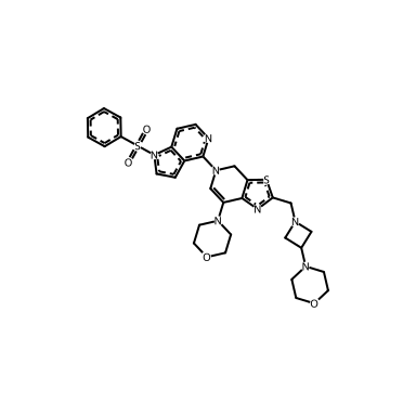 O=S(=O)(c1ccccc1)n1ccc2c(N3C=C(N4CCOCC4)c4nc(CN5CC(N6CCOCC6)C5)sc4C3)nccc21